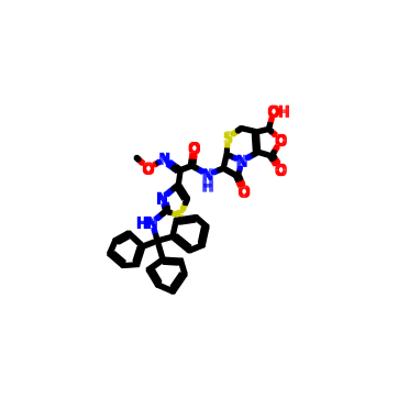 CO/N=C(/C(=O)NC1C(=O)N2C3=C(CSC12)C(O)OC3=O)c1csc(NC(c2ccccc2)(c2ccccc2)c2ccccc2)n1